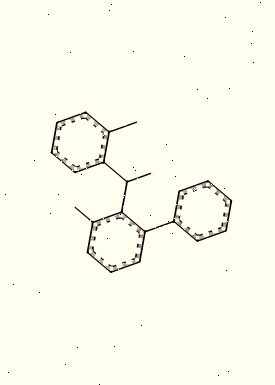 CCC(c1ccccc1C)c1c(C(=O)O)cccc1-c1ccccc1